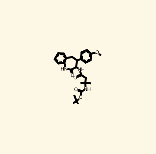 COc1ccc(C2Cc3ccccc3NC(=O)C2NC(=O)CC(C)(C)NC(=O)OC(C)(C)C)cc1